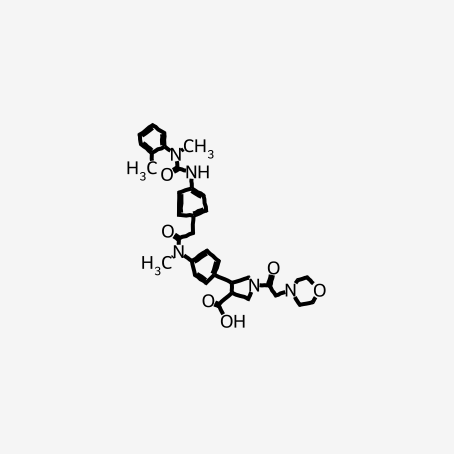 Cc1ccccc1N(C)C(=O)Nc1ccc(CC(=O)N(C)c2ccc(C3CN(C(=O)CN4CCOCC4)CC3C(=O)O)cc2)cc1